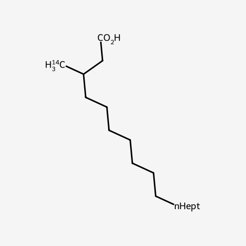 CCCCCCCCCCCCCCC([14CH3])CC(=O)O